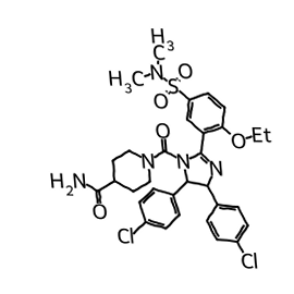 CCOc1ccc(S(=O)(=O)N(C)C)cc1C1=NC(c2ccc(Cl)cc2)C(c2ccc(Cl)cc2)N1C(=O)N1CCC(C(N)=O)CC1